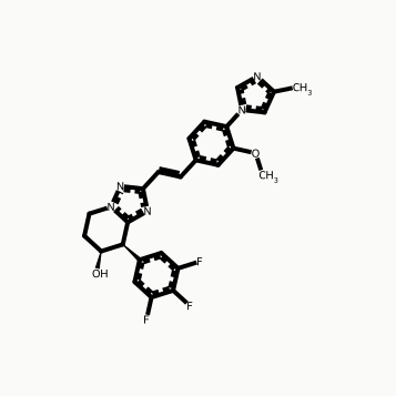 COc1cc(C=Cc2nc3n(n2)CC[C@H](O)[C@@H]3c2cc(F)c(F)c(F)c2)ccc1-n1cnc(C)c1